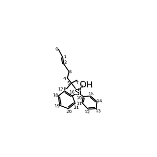 CC=CCCC(C)(C)[Si](O)(c1ccccc1)c1ccccc1